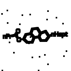 CCCCCCC[C@H]1CCC2C(CCC3C[C@@H](OC(=O)CCC)CCC32)C1